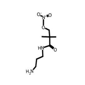 CC(C)(CO[N+](=O)[O-])C(=O)NCCCN